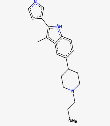 CNCCN1CCC(c2ccc3[nH]c(-c4cc[nH]c4)c(C)c3c2)CC1